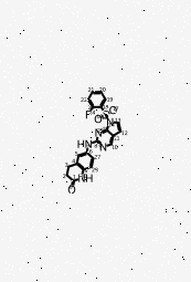 O=C1CCc2cc(Nc3ncc4ccn(S(=O)(=O)c5ccccc5F)c4n3)ccc2N1